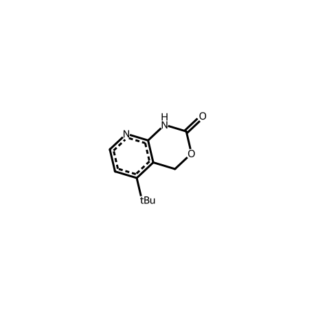 CC(C)(C)c1ccnc2c1COC(=O)N2